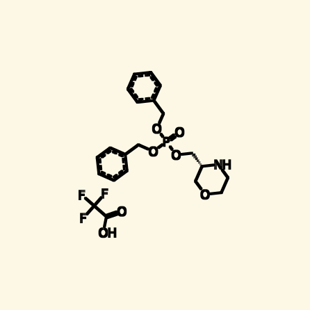 O=C(O)C(F)(F)F.O=P(OCc1ccccc1)(OCc1ccccc1)OC[C@H]1COCCN1